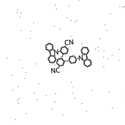 N#Cc1ccc(-c2ccc(C#N)cc2-n2c3ccccc3c3ccccc32)c(-c2ccc(-n3c4ccccc4c4ccccc43)cc2)c1